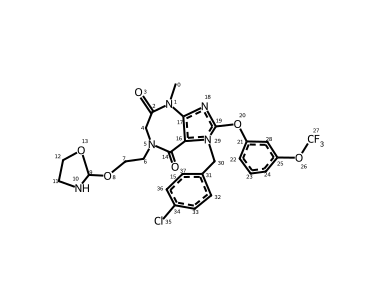 CN1C(=O)CN(CCOC2NCCO2)C(=O)c2c1nc(Oc1cccc(OC(F)(F)F)c1)n2Cc1ccc(Cl)cc1